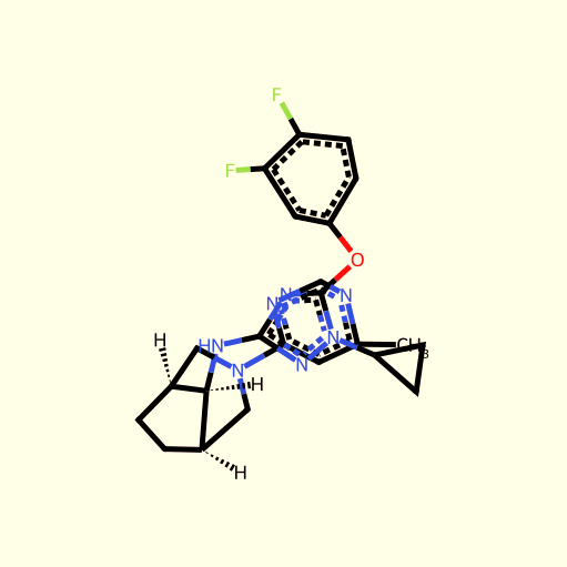 Cc1cc(N2C[C@H]3CC[C@@H](C2)[C@H]3Nc2nc(Oc3ccc(F)c(F)c3)n(C3CC3)n2)ncn1